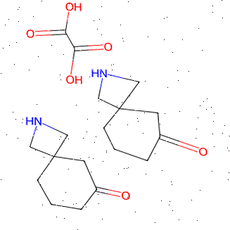 O=C(O)C(=O)O.O=C1CCCC2(CNC2)C1.O=C1CCCC2(CNC2)C1